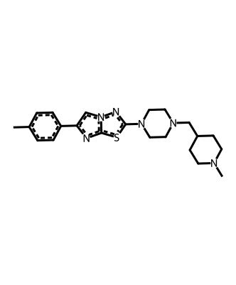 Cc1ccc(-c2cn3nc(N4CCN(CC5CCN(C)CC5)CC4)sc3n2)cc1